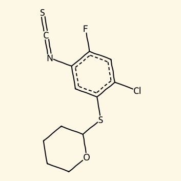 Fc1cc(Cl)c(SC2CCCCO2)cc1N=C=S